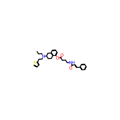 CCCN(CCc1cccs1)C1CCc2c(cccc2OC(=O)CCCNC(=O)C=Cc2ccccc2)C1